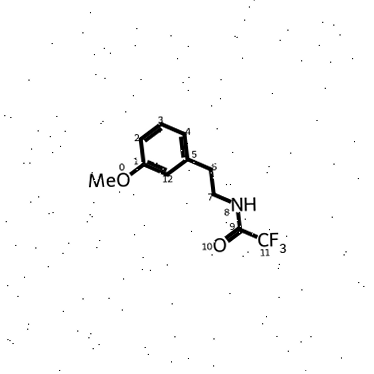 COc1cccc(CCNC(=O)C(F)(F)F)c1